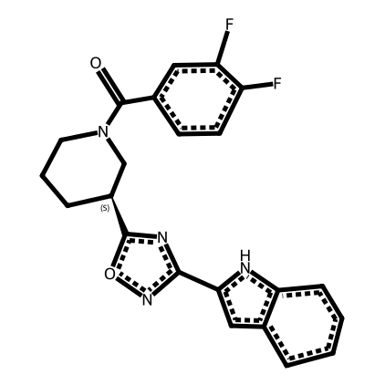 O=C(c1ccc(F)c(F)c1)N1CCC[C@H](c2nc(-c3cc4ccccc4[nH]3)no2)C1